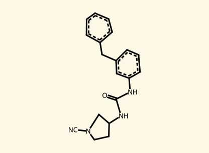 N#CN1CCC(NC(=O)Nc2cccc(Cc3ccccc3)c2)C1